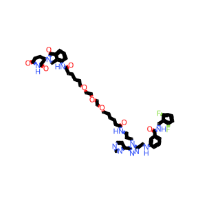 O=C(CCCCCOCCOCCOCCCCCC(=O)Nc1cccc2c1CN(C1CCC(=O)NC1=O)C2=O)NCCCn1c(CNc2cccc(C(=O)NCc3c(F)cccc3F)c2)nnc1-c1ccncn1